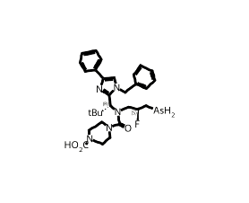 CC(C)(C)[C@H](c1nc(-c2ccccc2)cn1Cc1ccccc1)N(C[C@H](F)C[AsH2])C(=O)N1CCN(C(=O)O)CC1